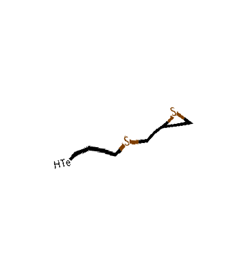 [TeH]CCSCC1CS1